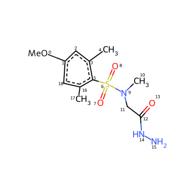 COc1cc(C)c(S(=O)(=O)N(C)CC(=O)NN)c(C)c1